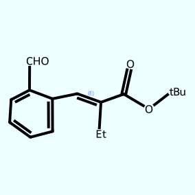 CC/C(=C\c1ccccc1C=O)C(=O)OC(C)(C)C